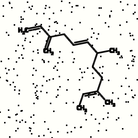 C=CC(=C)CC=CC(C)CCC(C)=CC